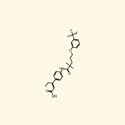 CCC(=CC(=O)O)c1ccc(NC(=O)C(C)(C)CCCOc2cccc(C(F)(F)F)c2)cc1